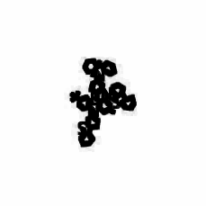 Cc1cc2c3c(c1)N(c1cccc4c1sc1ccccc14)c1cc(N4c5ccccc5C5(C)CCCCC45C)ccc1B3c1cc(C(C)(C)C)ccc1N2c1ccc2c(c1)sc1ccccc12